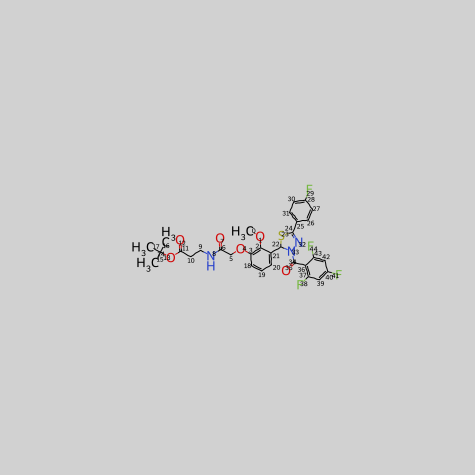 COc1c(OCC(=O)NCCC(=O)OC(C)(C)C)cccc1C1SC(c2ccc(F)cc2)=NN1C(=O)c1c(F)cc(F)cc1F